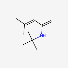 C=C(C=C(C)C)NC(C)(C)C